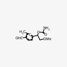 COCC(OC(N)=O)c1ccc(C=O)c(C)c1